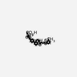 Cc1cccc(OCCCC(=O)N2CCCc3c(-c4ccc(COC(=O)NCC(=O)O)cc4)cccc32)c1C